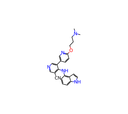 CN(C)CCCOc1ccc(-c2cncc(C#N)c2Nc2cccc3[nH]ccc23)cn1